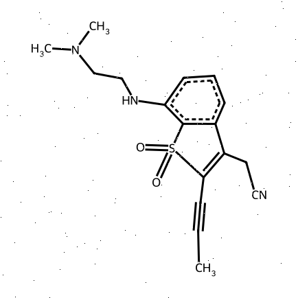 CC#CC1=C(CC#N)c2cccc(NCCN(C)C)c2S1(=O)=O